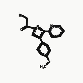 CSc1ccc(-c2cc(C(=O)CBr)nn2-c2ccccn2)cc1